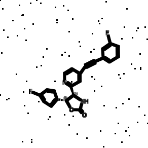 O=C1N[C@H](c2cc(C#Cc3cccc(F)c3)ccn2)[C@@H](c2ccc(F)cc2)O1